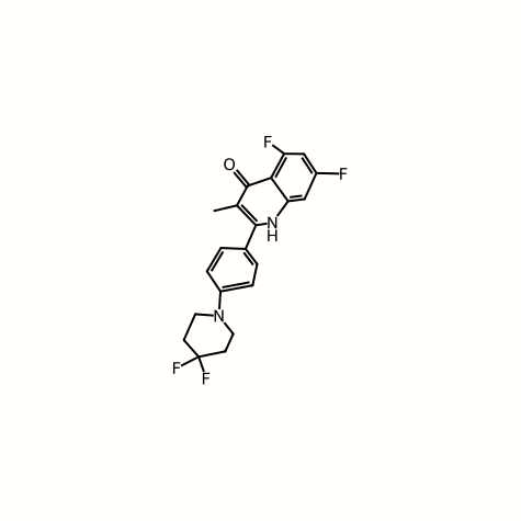 Cc1c(-c2ccc(N3CCC(F)(F)CC3)cc2)[nH]c2cc(F)cc(F)c2c1=O